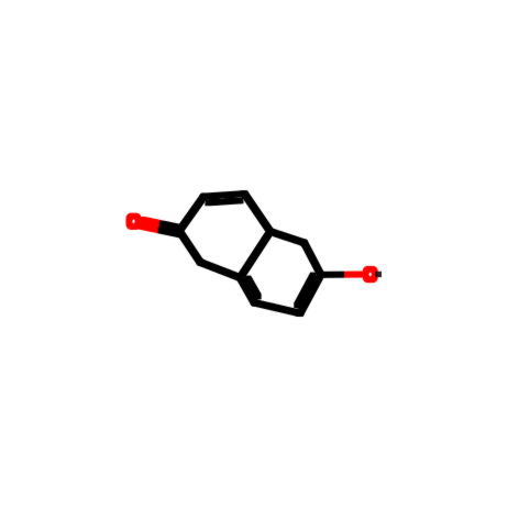 [O]C1=CC=C2CC(=O)C=CC2C1